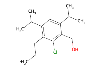 [CH2]CCc1c(C(C)C)cc(C(C)C)c(CO)c1Cl